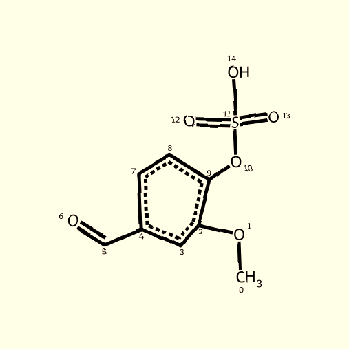 COc1cc(C=O)ccc1OS(=O)(=O)O